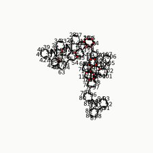 CC1(C)c2ccc(-c3ccccc3-c3ccccc3-c3c(-c4ccccc4)cccc3N(c3cccc(-n4c5ccccc5c5ccccc54)c3)c3cccc4c3C(C)(C)c3ccccc3-4)cc2-c2cccc(N(c3ccc(-c4cccc(-n5c6ccccc6c6ccccc65)c4)cc3)c3cccc(-c4ccccc4)c3-c3ccccc3-c3ccccc3)c21